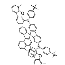 Cc1cccc2c1oc1c(N(c3ccc([Si](C)(C)C)cc3)c3ccc4c(c3)C3(c5cc(N(c6ccc([Si](C)(C)C)cc6)c6cccc7c6oc6c(C)cccc67)ccc5-4)c4ccccc4-c4c3cc3c5c(cccc45)-c4ccccc4-3)cccc12